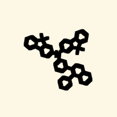 CC1(C)c2ccccc2-c2ccc(N(c3cccc(-c4ccc5ccccc5c4-c4ccccc4)c3)c3ccc4c(c3)C(C)(C)c3ccccc3-4)cc21